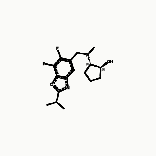 CC(C)c1nc2cc(CN(C)[C@H]3CCC[C@@H]3O)c(F)c(F)c2o1